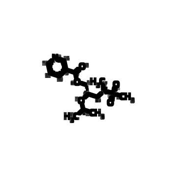 CC(C)O[C@H](COC(=O)c1cccnc1)CN(C)S(C)(=O)=O